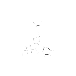 CC(C)(C)C(=O)OCn1cn[n+](CC(O)(CCc2ccc(Cl)cc2)C(C)(C)C)c1.[Cl-]